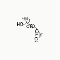 CC(C)OCC(F)(F)COCc1ccc(C2(O)CCNCC2CO)cc1